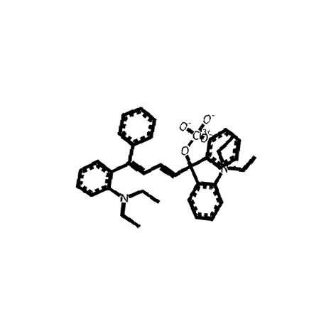 CCN(CC)c1ccccc1/C(=C/C=C/C(O[Cl+3]([O-])([O-])[O-])(c1ccccc1)c1ccccc1N(CC)CC)c1ccccc1